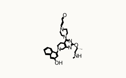 CNC[C@@H](C)Oc1nc2c(c(N3CCN(C=CC=O)CC3)n1)CCN(c1cc(O)cc3ccccc13)C2